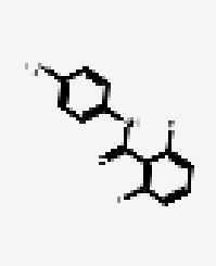 Nc1ccc(NC(=O)c2c(F)cccc2F)cc1